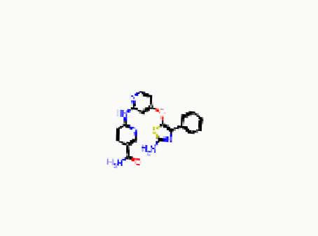 NC(=O)c1ccc(Nc2cc(Oc3sc(N)nc3-c3ccccc3)ccn2)nc1